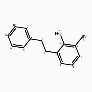 CC(C)c1cccc(CCc2ccccc2)c1O